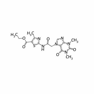 CCOC(=O)c1sc(NC(=O)Cn2cnc3c2c(=O)n(C)c(=O)n3C)nc1C